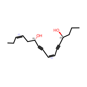 CC/C=C\C[C@H](O)C#C/C=C\C#C[C@@H](O)CCC